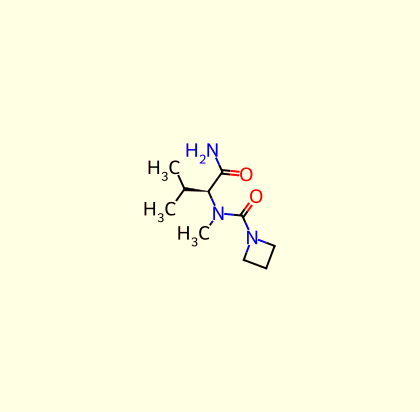 CC(C)[C@@H](C(N)=O)N(C)C(=O)N1CCC1